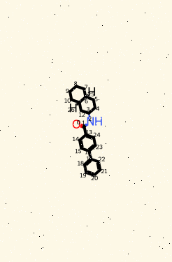 O=C(N[C@@H]1CC[C@H]2CCCC[C@H]2C1)c1ccc(-c2ccccc2)cc1